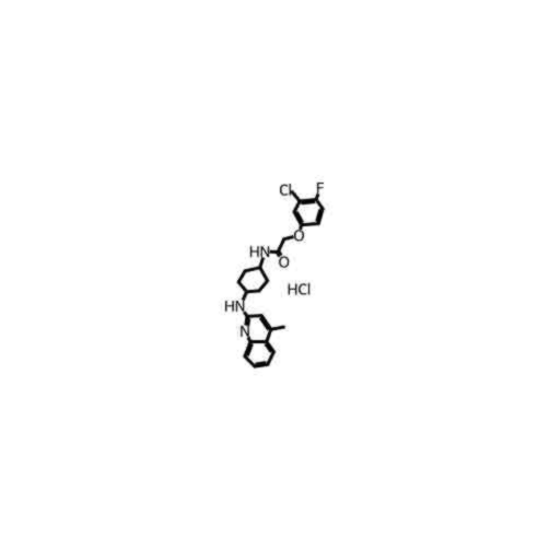 Cc1cc(NC2CCC(NC(=O)COc3ccc(F)c(Cl)c3)CC2)nc2ccccc12.Cl